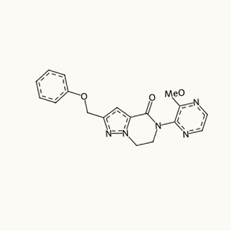 COc1nccnc1N1CCn2nc(COc3ccccc3)cc2C1=O